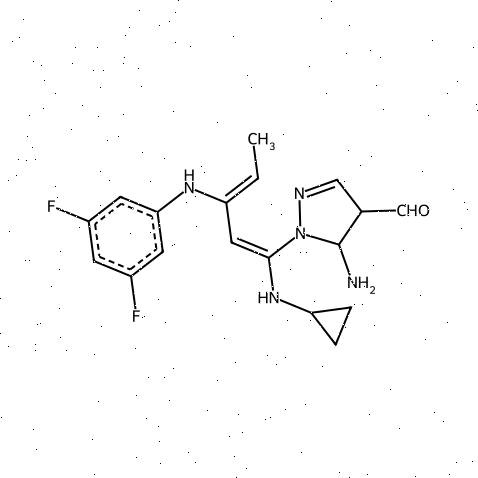 C/C=C(/C=C(/NC1CC1)N1N=CC(C=O)C1N)Nc1cc(F)cc(F)c1